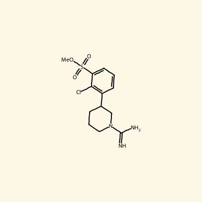 COS(=O)(=O)c1cccc(C2CCCN(C(=N)N)C2)c1Cl